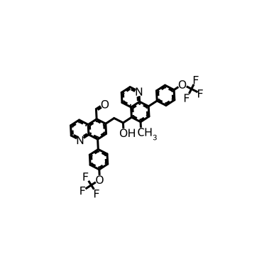 Cc1cc(-c2ccc(OC(F)(F)F)cc2)c2ncccc2c1C(O)Cc1cc(-c2ccc(OC(F)(F)F)cc2)c2ncccc2c1C=O